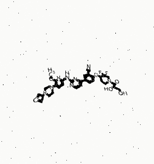 COc1nc(Nc2nccc(-c3ccc(OC4CCN(C(=O)[C@@H](O)CO)CC4(F)F)c(C#N)c3)n2)ccc1N1CCN(C2COC2)CC1